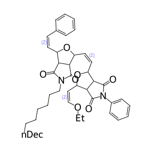 CCCCCCCCCCCCCCCCN1C(=O)C2C(/C=C\c3ccccc3)OC(/C=C\C3OC(/C=C\OCC)C4C(=O)N(c5ccccc5)C(=O)C34)C2C1=O